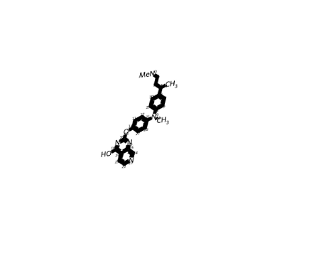 CNCCC(C)c1ccc(N(C)c2ccc(Oc3nc(O)c4ccncc4n3)cc2)cc1